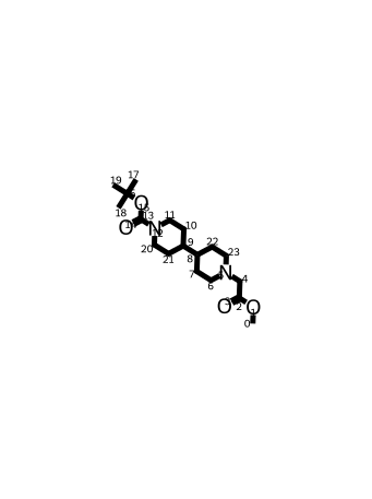 COC(=O)CN1CCC(C2CCN(C(=O)OC(C)(C)C)CC2)CC1